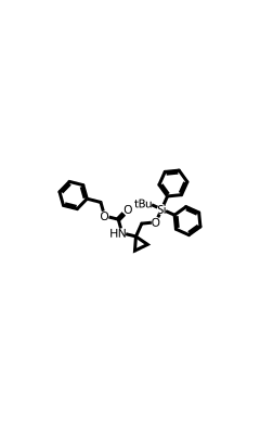 CC(C)(C)[Si](OCC1(NC(=O)OCc2ccccc2)CC1)(c1ccccc1)c1ccccc1